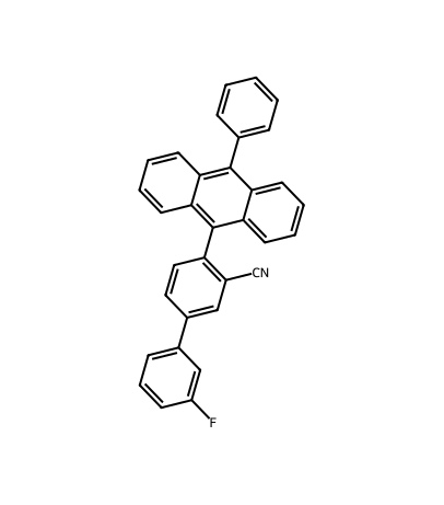 N#Cc1cc(-c2cccc(F)c2)ccc1-c1c2ccccc2c(-c2ccccc2)c2ccccc12